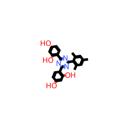 Cc1cc(C)c(-c2nc(-c3ccc(O)cc3O)nc(-c3ccc(O)cc3O)n2)c(C)c1